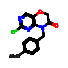 COc1ccc(CN2C(=O)COc3cnc(Cl)nc32)cc1